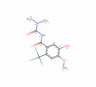 COc1cc(C(F)(F)F)c(C(=O)NC(=O)N(C)C)cc1O